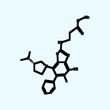 Cc1c(-c2ccccc2)c(N2CC[C@H](N(C)C)C2)c2oc(NCCC(=O)OC(C)(C)C)nc2c1C#N